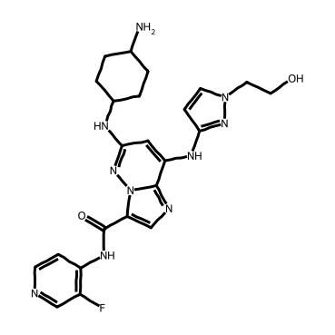 NC1CCC(Nc2cc(Nc3ccn(CCO)n3)c3ncc(C(=O)Nc4ccncc4F)n3n2)CC1